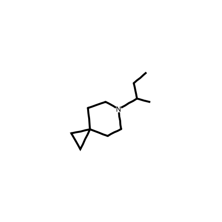 CCC(C)N1CCC2(CC1)CC2